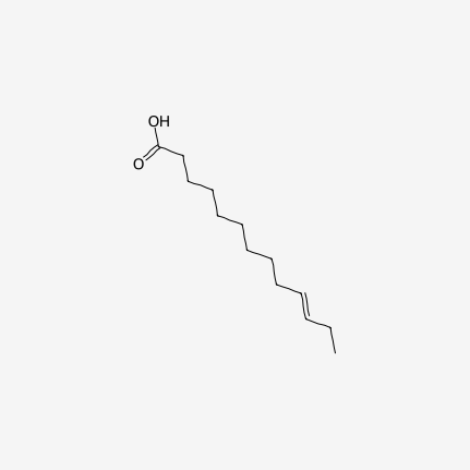 CC/C=C/CCCCCCCCC(=O)O